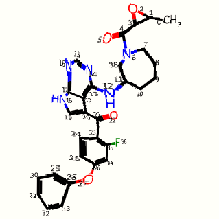 CC1OC1C(=O)N1CCCCC(Nc2ncnc3[nH]cc(C(=O)c4ccc(Oc5ccccc5)cc4F)c23)C1